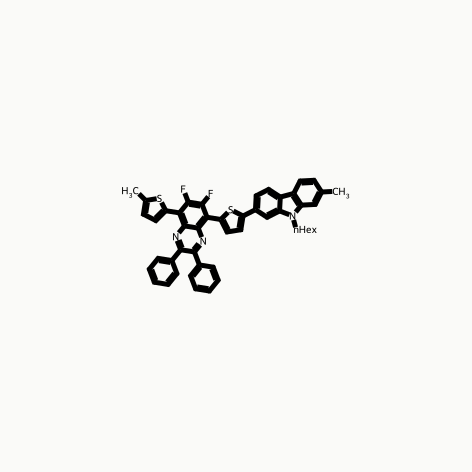 CCCCCCn1c2cc(C)ccc2c2ccc(-c3ccc(-c4c(F)c(F)c(-c5ccc(C)s5)c5nc(-c6ccccc6)c(-c6ccccc6)nc45)s3)cc21